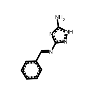 Nc1nc(N=Cc2ccccc2)n[nH]1